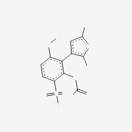 CCCCC(=O)Oc1c(S(N)(=O)=O)ccc(OC(F)(F)F)c1-c1cc(Cl)sc1Cl